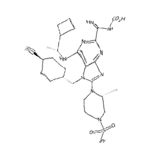 C#C[C@H]1CC[C@H](Cn2c(N3CCN(S(=O)(=O)C(C)C)C[C@H]3C)nc3nc(C(=N)NC(=O)O)nc(N[C@H](C)C4CCC4)c32)CC1